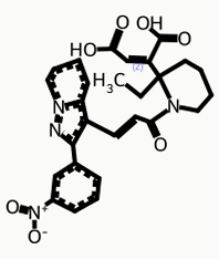 CCC1(/C(=C/C(=O)O)C(=O)O)CCCCN1C(=O)C=Cc1c(-c2cccc([N+](=O)[O-])c2)nn2ccccc12